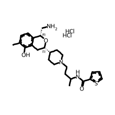 Cc1ccc2c(c1O)C[C@@H](C1CCN(CCC(C)NC(=O)c3cccs3)CC1)O[C@H]2CN.Cl.Cl